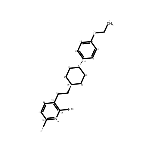 CCOc1ccc([C@H]2CC[C@H](CCc3ccc(F)nc3F)CC2)cc1